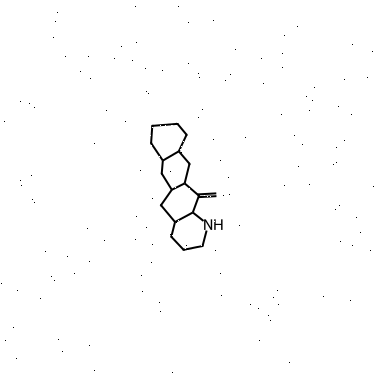 C=C1C2CC3CCCCC3CC2CC2CCCNC12